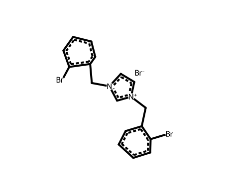 Brc1ccccc1Cn1cc[n+](Cc2ccccc2Br)c1.[Br-]